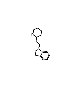 [c]1ccc2c(c1)N(CCC1CCCCN1)CC2